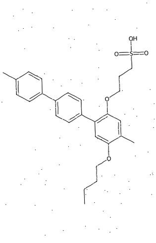 CCCCOc1cc(-c2ccc(-c3ccc(C)cc3)cc2)c(OCCCS(=O)(=O)O)cc1C